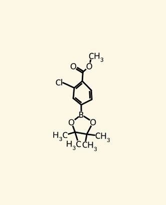 COC(=O)c1ccc(B2OC(C)(C)C(C)(C)O2)cc1Cl